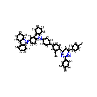 Cc1ccc(-c2cc(-c3ccc(-c4ccc(-n5c6ccccc6c6cc(-n7c8ccccc8c8ccccc87)ccc65)cc4)cc3C)nc(-c3ccc(C)cc3)n2)cc1